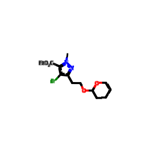 CCOC(=O)c1c(Br)c(CCOC2CCCCO2)nn1C